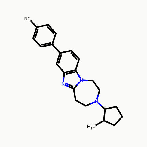 CC1CCCC1N1CCc2nc3cc(-c4ccc(C#N)cc4)ccc3n2CC1